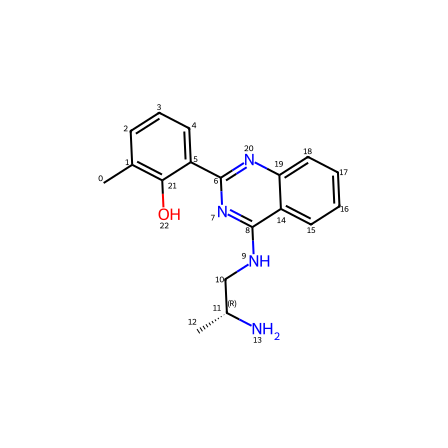 Cc1cccc(-c2nc(NC[C@@H](C)N)c3ccccc3n2)c1O